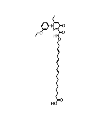 CCOc1cccc(-n2nc(C(=O)NOCC/C=C/C/C=C/C/C=C/CCCCCCCC(=O)O)c(=O)cc2CC)c1